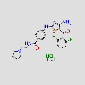 Cl.Cl.Nc1nc(Nc2ccc(C(=O)NCCN3CC=CC3)cc2)sc1C(=O)c1c(F)cccc1F